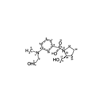 CN(CC=O)c1cccc(S(=O)(=O)N2CCS[C@H]2C(=O)O)c1